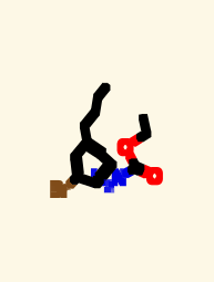 CCCCc1cccc(Br)c1.CCOC(N)=O